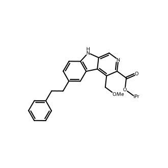 COCc1c(C(=O)OC(C)C)ncc2[nH]c3ccc(CCc4ccccc4)cc3c12